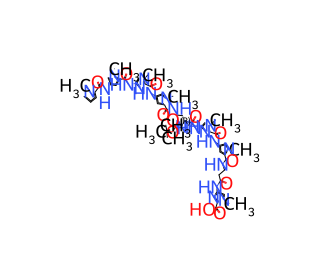 Cn1cc(NC(=O)c2nc(NC(=O)[C@@H](CCNC(=O)c3cc(NC(=O)c4nc(NC(=O)c5cc(NC(=O)c6cccn6C)cn5C)cn4C)cn3C)NC(=O)OC(C)(C)C)cn2C)cc1C(=O)NCCC(=O)Nc1cn(C)c(C(=O)O)n1